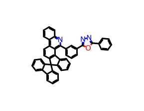 c1ccc(-c2nnc(-c3cccc(-c4nc5ccccc5c5ccc6c(c45)-c4ccccc4C64c5ccccc5-c5ccccc54)c3)o2)cc1